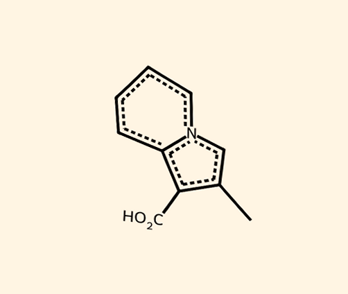 Cc1cn2ccccc2c1C(=O)O